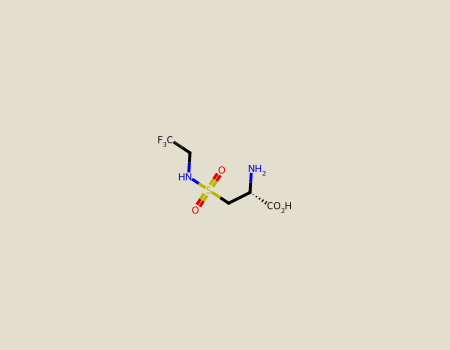 N[C@@H](CS(=O)(=O)NCC(F)(F)F)C(=O)O